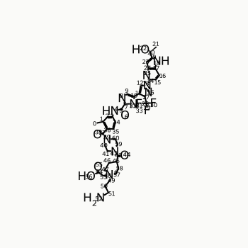 Cc1cc(NC(=O)c2ncc(-c3cn(-c4ccc5[nH]c([C@H](C)O)cc5n4)nc3C(F)(F)F)n2C)ccc1C(=O)N1CCN(C(=O)C2CC[N+](CCCN)(CC(=O)O)CC2)CC1